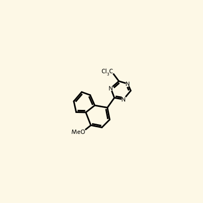 COc1ccc(-c2ncnc(C(Cl)(Cl)Cl)n2)c2ccccc12